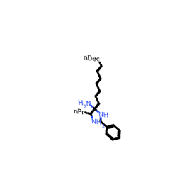 CCCCCCCCCCCCCCCCCC(N)(NCc1ccccc1)C(N)CCC